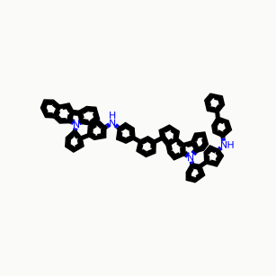 c1ccc(-c2ccc(Nc3ccc(-c4ccccc4-n4c5ccccc5c5c6cccc(-c7cccc(-c8ccc(Nc9ccc(-c%10ccccc%10-n%10c%11ccccc%11c%11cc%12ccccc%12cc%11%10)cc9)cc8)c7)c6ccc54)cc3)cc2)cc1